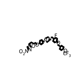 O=[N+]([O-])c1cn2c(n1)OC(COc1ccc(N3CCN(Cc4ccc(OCc5ccc(OC(F)(F)F)cc5)cc4F)CC3)cc1)CC2